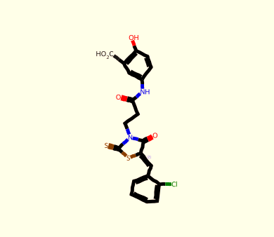 O=C(CCN1C(=O)/C(=C/c2ccccc2Cl)SC1=S)Nc1ccc(O)c(C(=O)O)c1